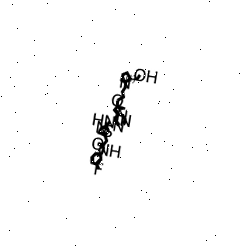 O=C(Cc1cnc(Nc2ncnn3cc(OCCCN4CCC[C@H]4CO)cc23)s1)Nc1cccc(F)c1